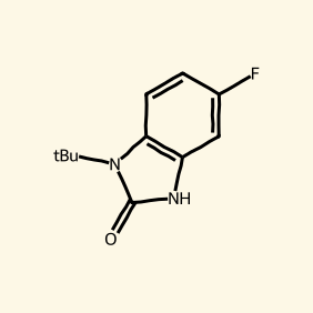 CC(C)(C)n1c(=O)[nH]c2cc(F)ccc21